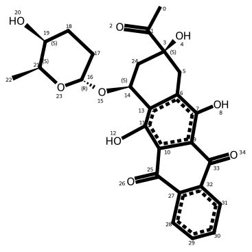 CC(=O)[C@]1(O)Cc2c(O)c3c(c(O)c2[C@@H](O[C@H]2CC[C@H](O)[C@H](C)O2)C1)C(=O)c1ccccc1C3=O